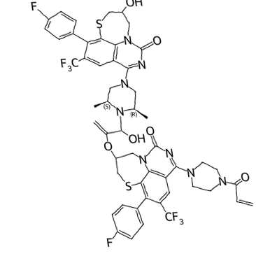 C=CC(=O)N1CCN(c2nc(=O)n3c4c(c(-c5ccc(F)cc5)c(C(F)(F)F)cc24)SCC(OC(=C)C(O)N2[C@H](C)CN(c4nc(=O)n5c6c(c(-c7ccc(F)cc7)c(C(F)(F)F)cc46)SCC(O)C5)C[C@@H]2C)C3)CC1